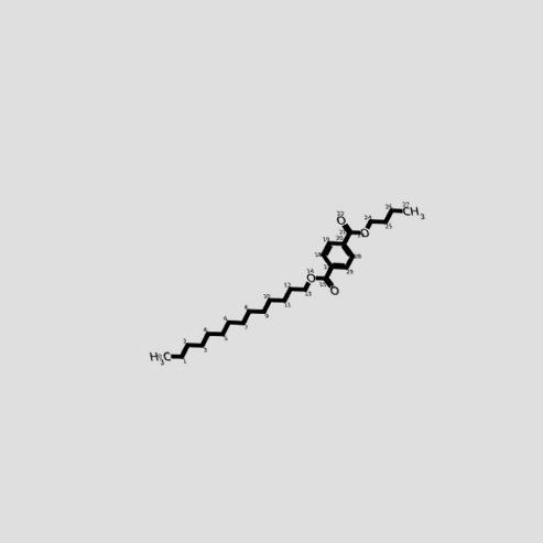 CCCCCCCCCCCCCCOC(=O)c1ccc(C(=O)OCCCC)cc1